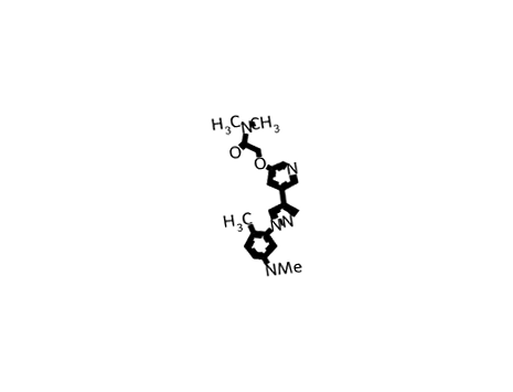 CNc1ccc(C)c(-n2cc(-c3cncc(OCC(=O)N(C)C)c3)cn2)c1